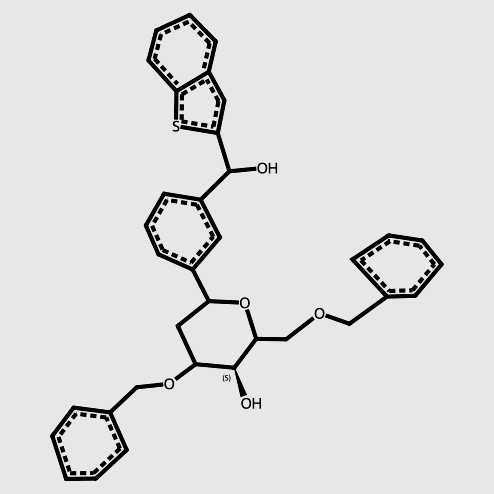 OC(c1cccc(C2CC(OCc3ccccc3)[C@H](O)C(COCc3ccccc3)O2)c1)c1cc2ccccc2s1